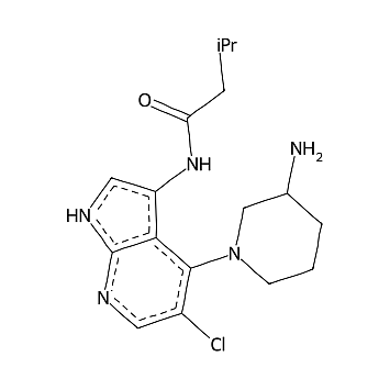 CC(C)CC(=O)Nc1c[nH]c2ncc(Cl)c(N3CCCC(N)C3)c12